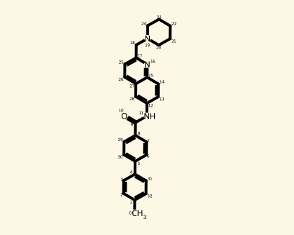 Cc1ccc(-c2ccc(C(=O)Nc3ccc4nc(CN5CCCCC5)ccc4c3)cc2)cc1